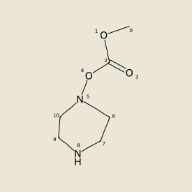 COC(=O)ON1CCNCC1